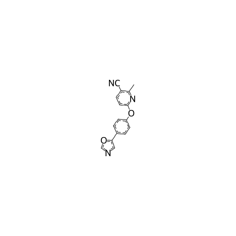 Cc1nc(Oc2ccc(-c3cnco3)cc2)ccc1C#N